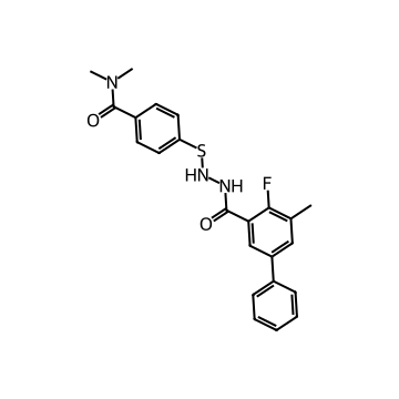 Cc1cc(-c2ccccc2)cc(C(=O)NNSc2ccc(C(=O)N(C)C)cc2)c1F